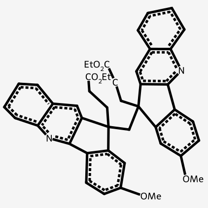 CCOC(=O)CCC1(CC2(CCC(=O)OCC)c3cc(OC)ccc3-c3nc4ccccc4cc32)c2cc(OC)ccc2-c2nc3ccccc3cc21